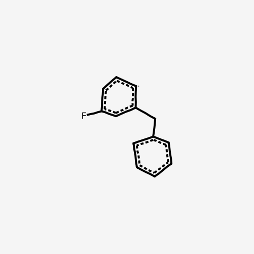 Fc1cc[c]c(Cc2ccccc2)c1